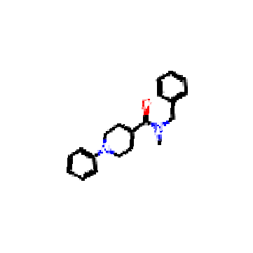 CN(Cc1ccccc1)C(=O)C1CCN(c2ccccc2)CC1